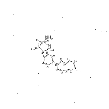 CN1C(=O)CC(C)(c2cccc(-c3ccc4ccccc4c3)c2)N=C1N